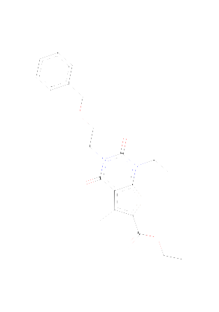 CCOC(=O)c1sc2c(c1C)c(=O)n(CCOCc1ccccc1)c(=O)n2CC